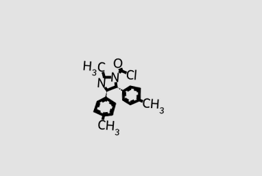 CC1=N[C@@H](c2ccc(C)cc2)[C@@H](c2ccc(C)cc2)N1C(=O)Cl